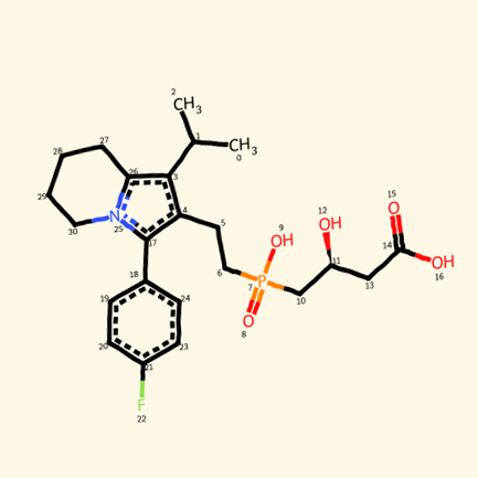 CC(C)c1c(CCP(=O)(O)C[C@@H](O)CC(=O)O)c(-c2ccc(F)cc2)n2c1CCCC2